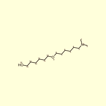 CN(C)CCCCCCOCCCCCCO